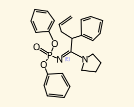 C=CCC(/C(=N\P(=O)(Oc1ccccc1)Oc1ccccc1)N1CCCC1)c1ccccc1